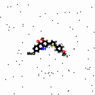 COc1ccc2c(=O)c3c([nH]c2c1)CC(c1ccc(-c2ccc(OC(F)(F)F)cc2)s1)CC3=O